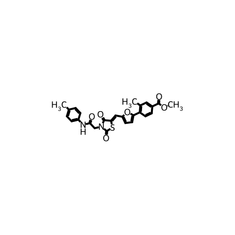 COC(=O)c1ccc(-c2ccc(/C=C3\SC(=O)N(CC(=O)Nc4ccc(C)cc4)C3=O)o2)c(C)c1